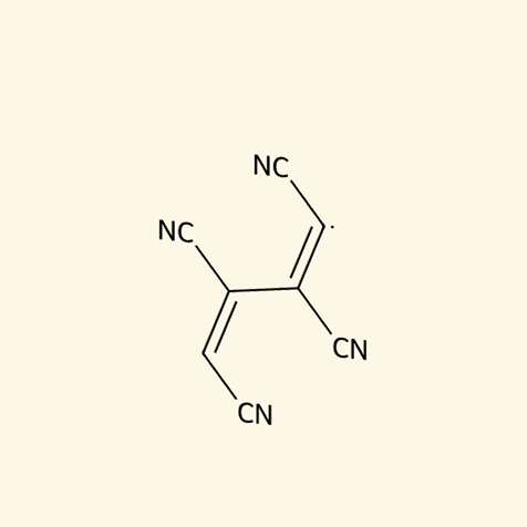 N#C/[C]=C(C#N)\C(C#N)=C/C#N